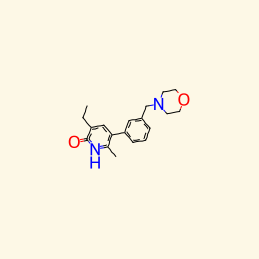 CCc1cc(-c2cccc(CN3CCOCC3)c2)c(C)[nH]c1=O